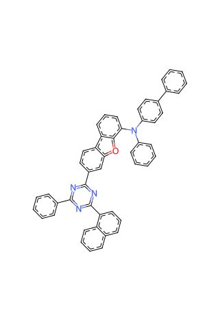 c1ccc(-c2ccc(N(c3ccccc3)c3cccc4c3oc3cc(-c5nc(-c6ccccc6)nc(-c6cccc7ccccc67)n5)ccc34)cc2)cc1